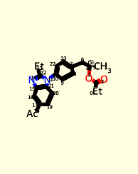 CCC(=O)O[C@@H](C)Cc1ccc(-n2c(CC)nc3cc(C(C)=O)ccc32)cc1